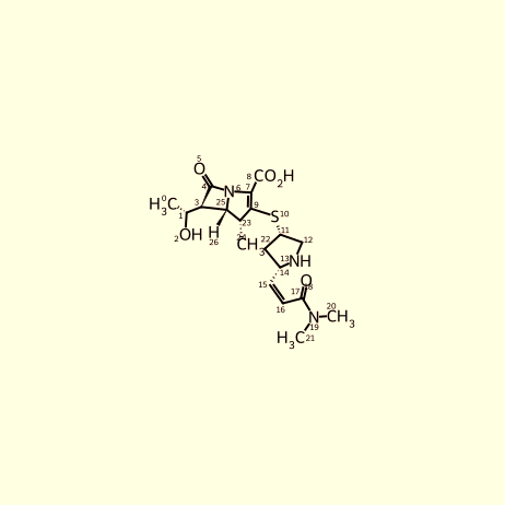 C[C@@H](O)[C@H]1C(=O)N2C(C(=O)O)=C(S[C@@H]3CN[C@H](/C=C\C(=O)N(C)C)C3)[C@H](C)[C@H]12